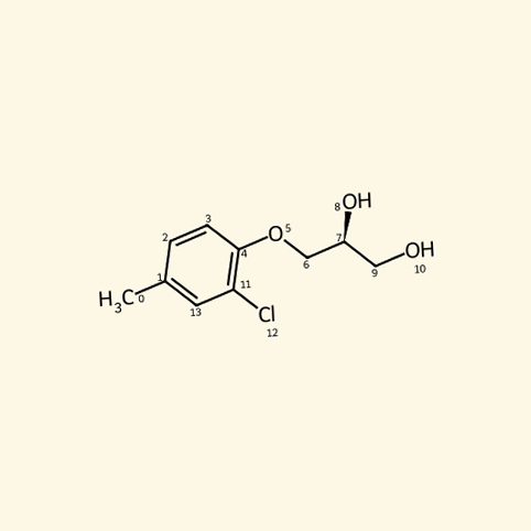 Cc1ccc(OC[C@@H](O)CO)c(Cl)c1